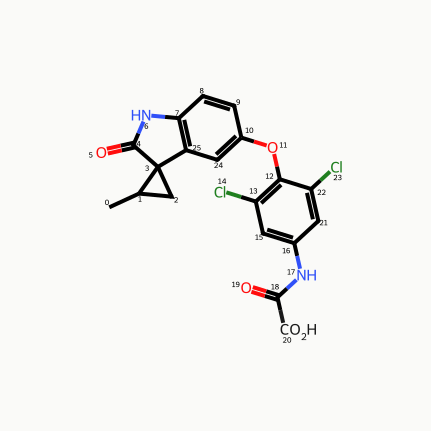 CC1CC12C(=O)Nc1ccc(Oc3c(Cl)cc(NC(=O)C(=O)O)cc3Cl)cc12